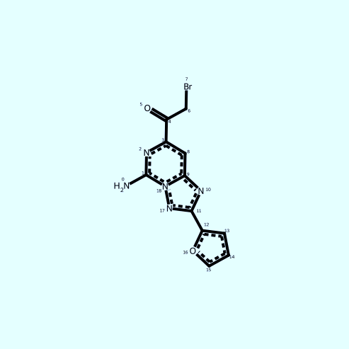 Nc1nc(C(=O)CBr)cc2nc(-c3ccco3)nn12